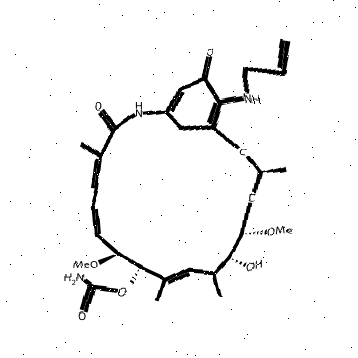 C=CCNC1=C2CC(=CC1=O)NC(=O)/C(C)=C/C=C\[C@H](OC)[C@@H](OC(N)=O)/C(C)=C/C(C)[C@@H](O)[C@@H](OC)C[C@H](C)C2